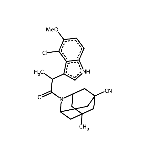 COc1ccc2[nH]cc(C(C)C(=O)N3C4CC5(C)CC3CC(C#N)(C4)C5)c2c1Cl